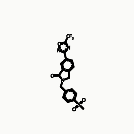 CS(=O)(=O)c1ccc(CN2Cc3ccc(-c4noc(C(F)(F)F)n4)cc3C2=O)cc1